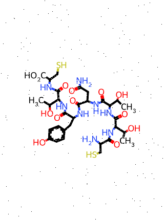 CC(O)C(NC(=O)C(N)CS)C(=O)NC(C(=O)NC(CC(N)=O)C(=O)NC(Cc1ccc(O)cc1)C(=O)NC(C(=O)NC(CS)C(=O)O)C(C)O)C(C)O